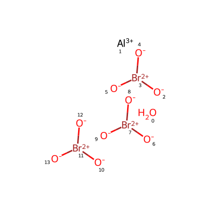 O.[Al+3].[O-][Br+2]([O-])[O-].[O-][Br+2]([O-])[O-].[O-][Br+2]([O-])[O-]